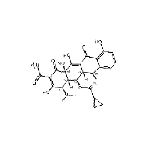 C[C@@H]1c2cccc(O)c2C(=O)C2=C(O)[C@@]3(O)C(=O)C(C(N)=O)=C(O)[C@H](N(C)C)[C@H]3[C@H](OC(=O)C3CC3)[C@H]21